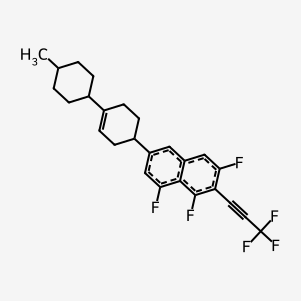 CC1CCC(C2=CCC(c3cc(F)c4c(F)c(C#CC(F)(F)F)c(F)cc4c3)CC2)CC1